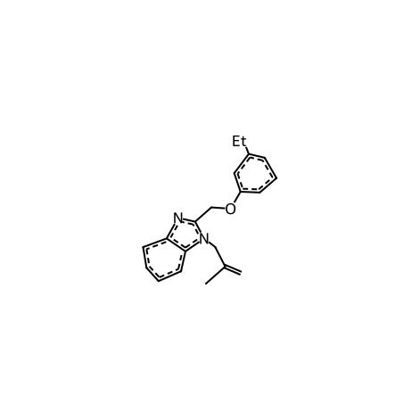 C=C(C)Cn1c(COc2cccc(CC)c2)nc2ccccc21